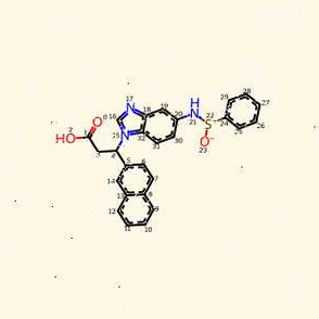 O=C(O)CC(c1ccc2ccccc2c1)n1cnc2cc(N[S+]([O-])c3ccccc3)ccc21